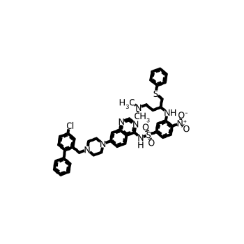 CN(C)CCC(CSc1ccccc1)Nc1cc(S(=O)(=O)Nc2ncnc3cc(N4CCN(Cc5cc(Cl)ccc5-c5ccccc5)CC4)ccc23)ccc1[N+](=O)[O-]